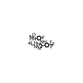 C=CC(=O)Nc1ccc(F)c(Nc2nc(NCCN(C)C)ncc2-c2ccc(C(F)(F)F)cc2)c1